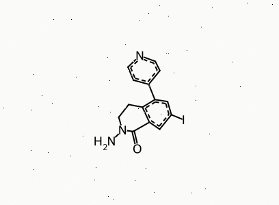 NN1CCc2c(cc(I)cc2-c2ccncc2)C1=O